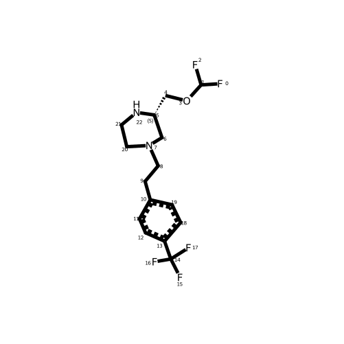 FC(F)OC[C@@H]1CN(CCc2ccc(C(F)(F)F)cc2)CCN1